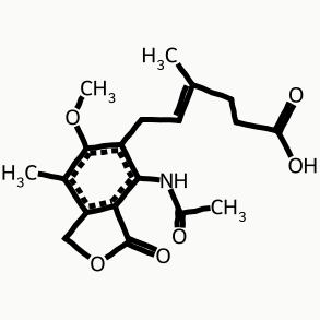 COc1c(C)c2c(c(NC(C)=O)c1C/C=C(\C)CCC(=O)O)C(=O)OC2